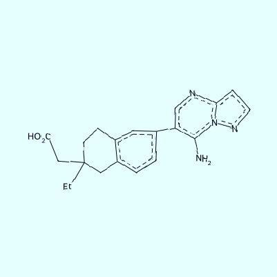 CCC1(CC(=O)O)CCc2cc(-c3cnc4ccnn4c3N)ccc2C1